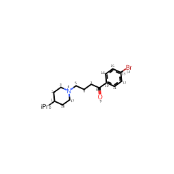 CC(C)C1CCN(CCCC(=O)c2ccc(Br)cc2)CC1